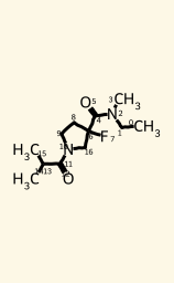 CCN(C)C(=O)C1(F)CCN(C(=O)C(C)C)C1